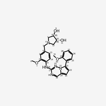 COc1cc(CN2C[C@@H](O)[C@H](O)C2)ccc1Nc1ncc2ccc(-c3ccccc3OC)n2n1